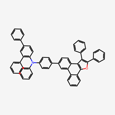 c1ccc(-c2ccc(N(c3ccccc3)c3ccc(-c4ccc5c(c4)c4ccccc4c4oc(-c6ccccc6)c(-c6ccccc6)c54)cc3)c(-c3ccccc3)c2)cc1